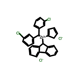 Clc1cccc([C](c2cccc(Cl)c2)=[Zr+2]([C]2=CC=CC2)[CH]2c3ccccc3-c3ccccc32)c1.[Cl-].[Cl-]